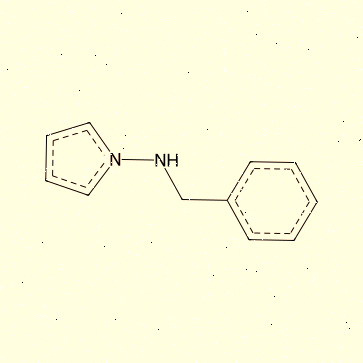 c1ccc(CNn2cccc2)cc1